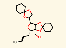 C/C=C/C[C@@H]1O[C@@H](C2COC3(CCCCC3)O2)C2OC3(CCCCC3)O[C@]21CO